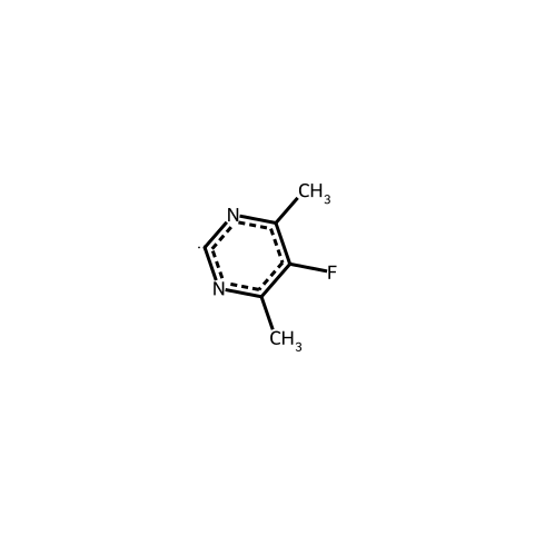 Cc1n[c]nc(C)c1F